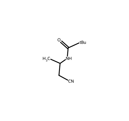 CC(CC#N)NC(=O)C(C)(C)C